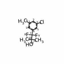 Cc1cc(Cl)cc(C(F)(F)C(C)(C)O)c1